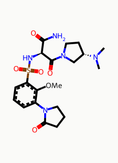 COc1c(N2CCCC2=O)cccc1S(=O)(=O)N[C@@H](C(N)=O)C(=O)N1CC[C@H](N(C)C)C1